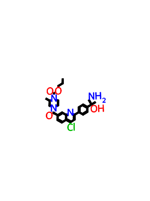 CCCOC(=O)N1CCN(C(=O)c2ccc3c(Cl)cc(-c4ccc(C(C)(O)CN)cc4)nc3c2)CC1C